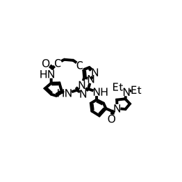 CCN(CC)C1CCN(C(=O)c2cccc(Nc3nc4nc5c(cnn35)CCCCC(=O)Nc3cccc(c3)N4)c2)C1